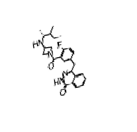 CCC(C)[C@@H](C)NC1CN(C(=O)c2cc(Cc3n[nH]c(=O)c4ccccc34)ccc2F)C1